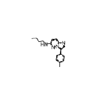 CCCCNc1ccc2ncc(-c3ccc(C)cc3)n2n1